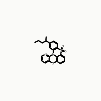 CCCC(C)c1ccc2c(c1)N1c3ncccc3Oc3cccc(c31)S2(=O)=O